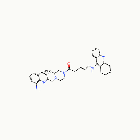 Nc1cccc2ccc(CN3CCN(C(=O)CCCCNc4c5c(nc6ccccc46)CCCC5)CC3C(=O)O)nc12